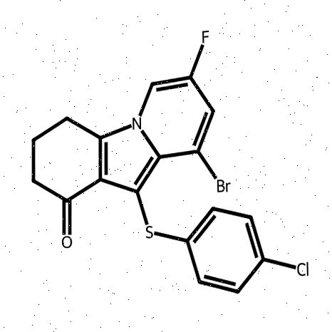 O=C1CCCc2c1c(Sc1ccc(Cl)cc1)c1c(Br)cc(F)cn21